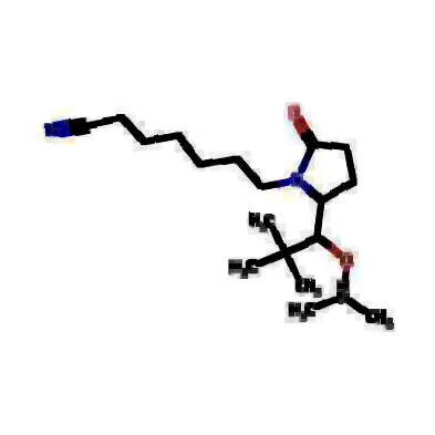 C[SiH](C)OC(C1CCC(=O)N1CCCCCCC#N)C(C)(C)C